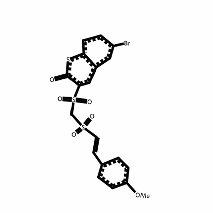 COc1ccc(/C=C/S(=O)(=O)CS(=O)(=O)c2cc3cc(Br)ccc3sc2=O)cc1